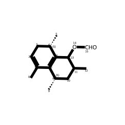 CC1=CC[C@H](C)C2=C1[C@@H](C)CC(C)C2OC=O